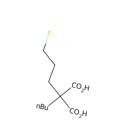 CCCCC(CCCF)(C(=O)O)C(=O)O